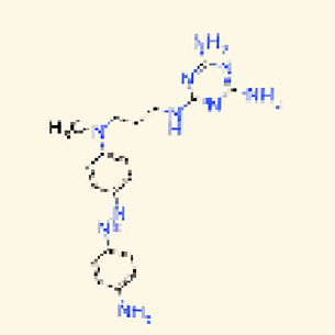 CN(CCCNc1nc(N)nc(N)n1)c1ccc(/N=N/c2ccc(N)cc2)cc1